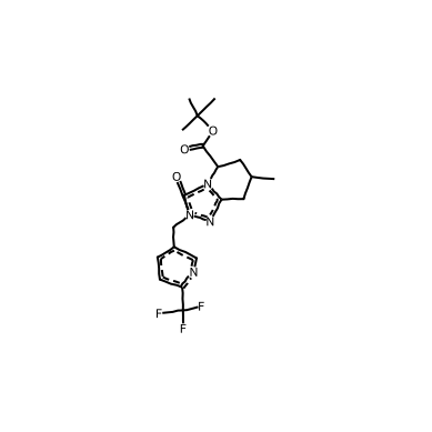 CC1Cc2nn(Cc3ccc(C(F)(F)F)nc3)c(=O)n2C(C(=O)OC(C)(C)C)C1